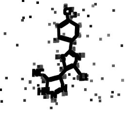 CCc1nc(-c2ccc(C(F)(F)F)cc2)sc1-c1nn[nH]c1C#N